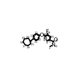 CN(C)C(=O)c1cnc(Oc2ccc(C3CCCCCC3)cc2)c(F)c1